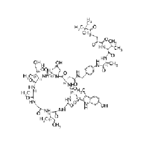 CC[C@H](C)[C@@H]1NC(=O)CNC(=O)[C@H](C)NC(=O)[C@H]([C@@H](C)[C@@H](O)CO)NC(=O)[C@@H]2C[C@@H](O)CN2C(=O)[C@H](CC(=O)NCc2ccc(NC(=O)[C@H](C)NC(=O)C(NC(=O)C(=O)CCC(=O)C(C)(C)C)C(C)C)cc2)NC(=O)[C@H](C[S+]([O-])c2[nH]c3cc(O)ccc3c2C)NC(=O)CNC1=O